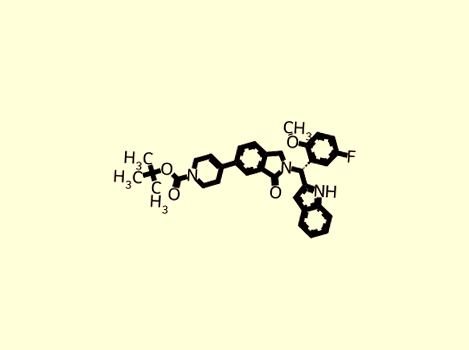 COc1ccc(F)cc1[C@H](c1cc2ccccc2[nH]1)N1Cc2ccc(C3=CCN(C(=O)OC(C)(C)C)CC3)cc2C1=O